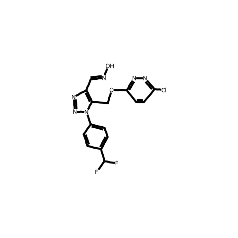 ON=Cc1nnn(-c2ccc(C(F)F)cc2)c1COc1ccc(Cl)nn1